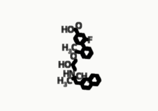 CC(OC[C@H](O)CNC(C)(C)Cc1ccc2ccccc2c1)c1ccccc1-c1ccc(C(=O)O)cc1F